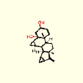 C=C1C2CC2[C@H]2C3[C@H]4CC4[C@]4(O)C[C@@H](O)CC[C@]4(C)[C@H]3CC[C@]12C